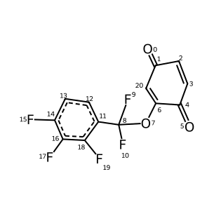 O=C1C=CC(=O)C(OC(F)(F)c2ccc(F)c(F)c2F)=C1